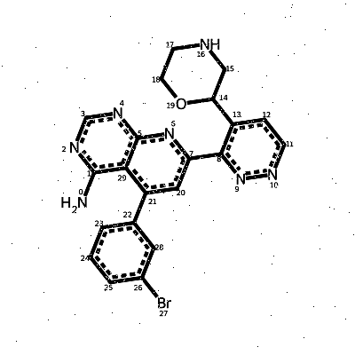 Nc1ncnc2nc(-c3nnccc3C3CNCCO3)cc(-c3cccc(Br)c3)c12